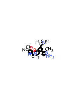 CCOc1cc(C(C)N2CCc3c(cc(CCN(C)CC)cc3-c3ccc(N)nc3C)C2=O)ncc1C#N